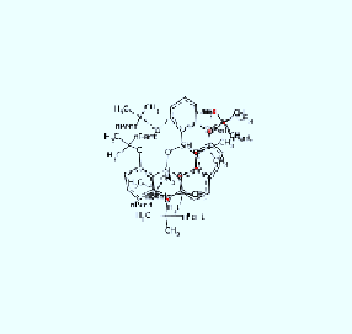 CCCCCC(C)(C)Oc1cccc(OC(C)(C)CCCCC)c1[SiH](O[SiH](c1c(OC(C)(C)CCCCC)cccc1OC(C)(C)CCCCC)c1c(OC(C)(C)CCCCC)cccc1OC(C)(C)CCCCC)c1c(OC(C)(C)CCCCC)cccc1OC(C)(C)CCCCC